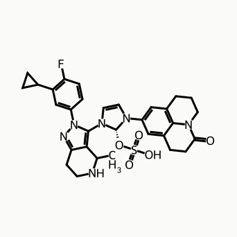 CC1NCCc2nn(-c3ccc(F)c(C4CC4)c3)c(N3C=CN(c4cc5c6c(c4)CCC(=O)N6CCC5)[C@@H]3OS(=O)(=O)O)c21